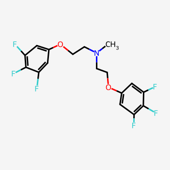 CN(CCOc1cc(F)c(F)c(F)c1)CCOc1cc(F)c(F)c(F)c1